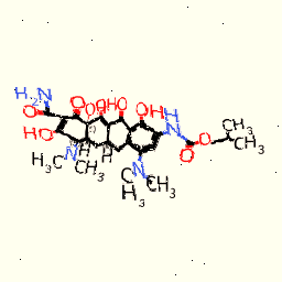 CC(C)COC(=O)Nc1cc(N(C)C)c2c(c1O)C(=O)C1=C(O)[C@]3(O)C(=O)C(C(N)=O)=C(O)[C@H](N(C)C)[C@@H]3C[C@@H]1C2